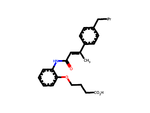 C/C(=C\C(=O)Nc1ccccc1OCCCC(=O)O)c1ccc(CC(C)C)cc1